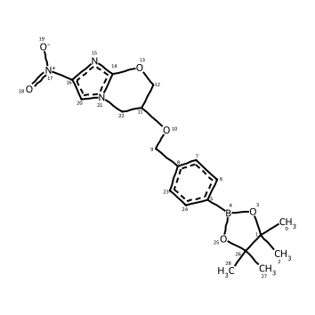 CC1(C)OB(c2ccc(COC3COc4nc([N+](=O)[O-])cn4C3)cc2)OC1(C)C